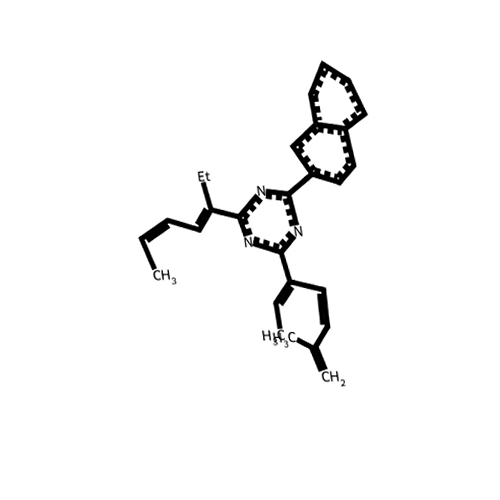 C=C(C)/C=C\C(=C/C)c1nc(/C(=C/C=C\C)CC)nc(-c2ccc3ccccc3c2)n1